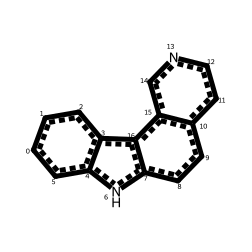 c1ccc2c(c1)[nH]c1ccc3ccncc3c12